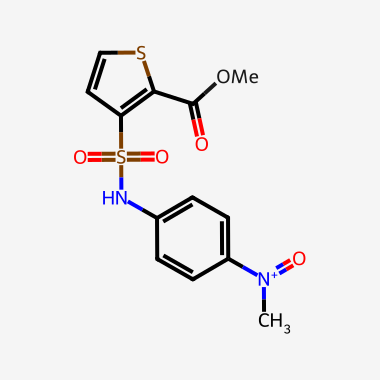 COC(=O)c1sccc1S(=O)(=O)Nc1ccc([N+](C)=O)cc1